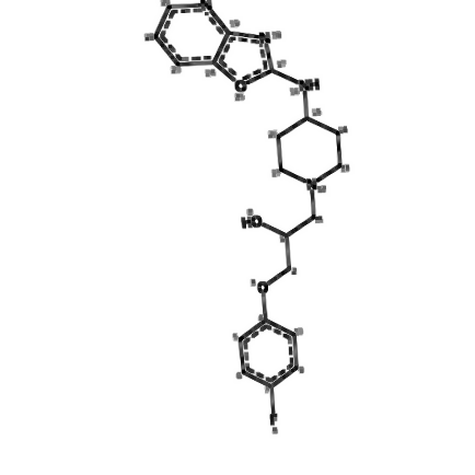 OC(COc1ccc(F)cc1)CN1CCC(Nc2nc3ncccc3o2)CC1